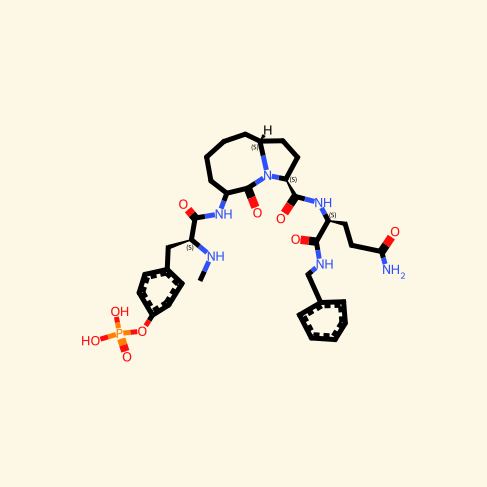 CN[C@@H](Cc1ccc(OP(=O)(O)O)cc1)C(=O)NC1CCCC[C@H]2CC[C@@H](C(=O)N[C@@H](CCC(N)=O)C(=O)NCc3ccccc3)N2C1=O